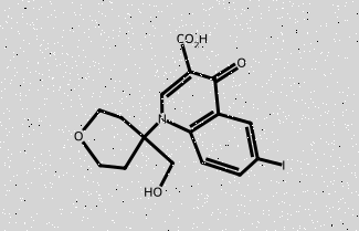 O=C(O)c1cn(C2(CO)CCOCC2)c2ccc(I)cc2c1=O